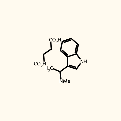 CNC(C)c1c[nH]c2ccccc12.O=C(O)CCC(=O)O